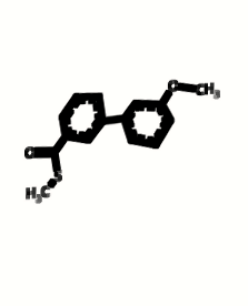 COc1cccc(-c2cccc(C(=O)SC)c2)c1